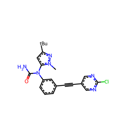 Cn1nc(C(C)(C)C)cc1N(C(N)=O)c1cccc(C#Cc2cnc(Cl)nc2)c1